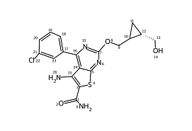 NC(=O)c1sc2nc(OCC3C[C@@H]3CO)nc(-c3cccc(Cl)c3)c2c1N